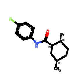 CC(C)[C@@H]1CC[C@@H](C)C[C@H]1C(=O)Nc1ccc(F)cc1